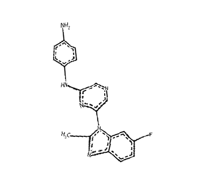 Cc1nc2ccc(F)cc2n1-c1cncc(Nc2ccc(N)cc2)n1